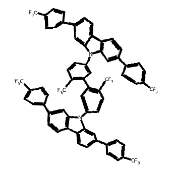 FC(F)(F)c1ccc(-c2ccc3c4ccc(-c5ccc(C(F)(F)F)cc5)cc4n(-c4ccc(C(F)(F)F)c(-c5cc(-n6c7cc(-c8ccc(C(F)(F)F)cc8)ccc7c7ccc(-c8ccc(C(F)(F)F)cc8)cc76)ccc5C(F)(F)F)c4)c3c2)cc1